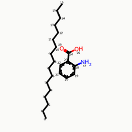 CCCCCCCCCCCCCCCCC.Nc1ccccc1C(=O)O